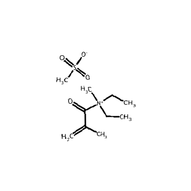 C=C(C)C(=O)[N+](C)(CC)CC.CS(=O)(=O)[O-]